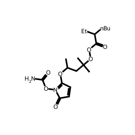 CCCCC(CC)C(=O)OOC(C)(C)CC(C)OC1=[N+](OC(N)=O)C(=O)C=C1